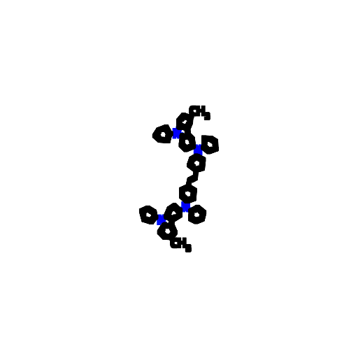 Cc1ccc2c(c1)c1cc(N(c3ccccc3)c3ccc(/C=C/c4ccc(N(c5ccccc5)c5ccc6c(c5)c5cc(C)ccc5n6-c5ccccc5)cc4)cc3)ccc1n2-c1ccccc1